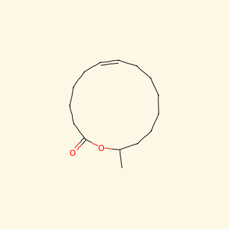 CC1CCCCCC/C=C\CCCCC(=O)O1